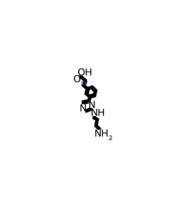 NCCCCNc1cncc(-c2cccc(/C=C/C(=O)O)c2)n1